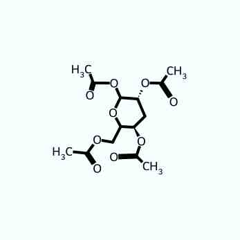 CC(=O)OCC1OC(OC(C)=O)[C@H](OC(C)=O)C[C@H]1OC(C)=O